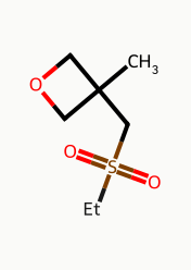 CCS(=O)(=O)CC1(C)COC1